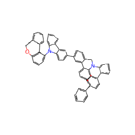 c1ccc(-c2ccc(-c3ccccc3N3Cc4ccc(-c5ccc6c(c5)c5ccccc5n6-c5cccc6c5-c5ccccc5CO6)cc4-c4ccccc43)cc2)cc1